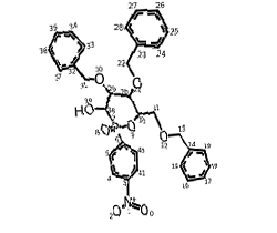 O=[N+]([O-])c1ccc(P2(=O)OC(COCc3ccccc3)C(OCc3ccccc3)C(OCc3ccccc3)C2O)cc1